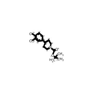 CC(C)(C)OC(=O)N1CCC(c2ccc(Cl)c(Cl)c2)CC1